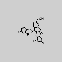 O=c1oc2cc(CO)ccc2c(OCc2ccc(F)cc2F)c1Cc1ccc(F)cc1F